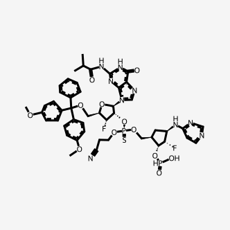 COc1ccc(C(OC[C@H]2O[C@@H](n3cnc4c(=O)[nH]c(NC(=O)C(C)C)nc43)[C@H](O[P@@](=S)(OCCC#N)OC[C@H]3C[C@@H](Nc4ccncn4)[C@H](F)[C@@H]3O[PH](=O)O)[C@@H]2F)(c2ccccc2)c2ccc(OC)cc2)cc1